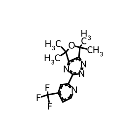 CC1(C)OC(C)(C)c2nc(-c3cc(C(F)(F)F)ccn3)nnc21